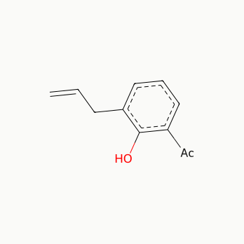 C=CCc1cccc(C(C)=O)c1O